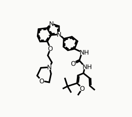 C/C=C/C(/C=C(\OC)C(C)(C)C)NC(=O)Nc1ccc(-n2cnc3cccc(OCCN4CCOCC4)c32)cc1